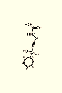 O=C(O)NCC#CS(=O)(=O)c1ccccc1